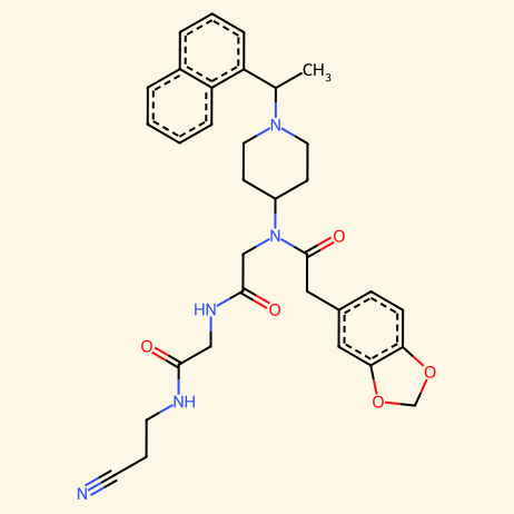 CC(c1cccc2ccccc12)N1CCC(N(CC(=O)NCC(=O)NCCC#N)C(=O)Cc2ccc3c(c2)OCO3)CC1